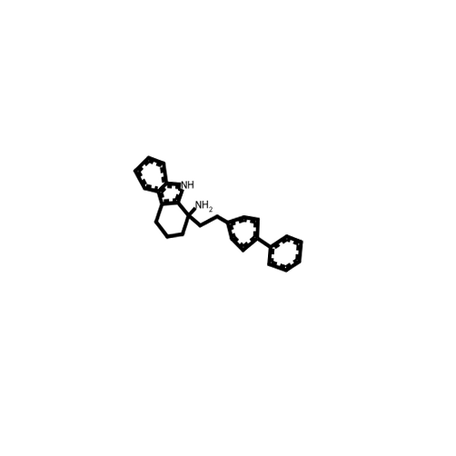 NC1(CCc2ccc(-c3ccccc3)cc2)CCCc2c1[nH]c1ccccc21